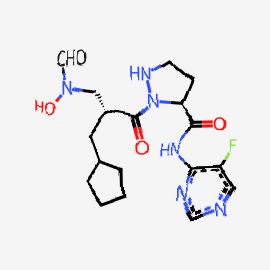 O=CN(O)C[C@@H](CC1CCCC1)C(=O)N1NCC[C@H]1C(=O)Nc1ncncc1F